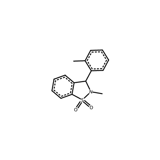 Cc1ccccc1C1c2ccccc2S(=O)(=O)N1C